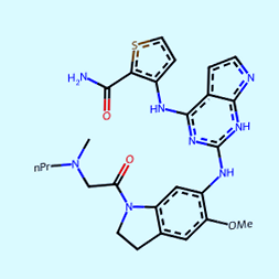 CCCN(C)CC(=O)N1CCc2cc(OC)c(Nc3nc(Nc4ccsc4C(N)=O)c4ccnc-4[nH]3)cc21